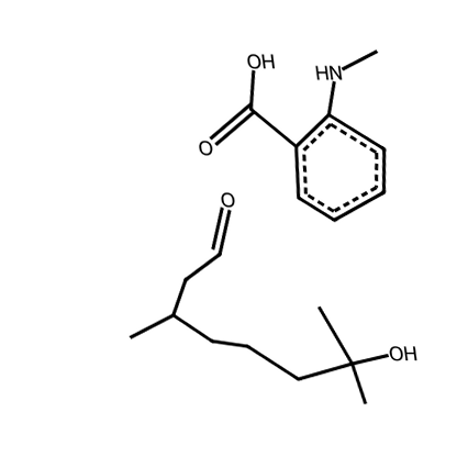 CC(CC=O)CCCC(C)(C)O.CNc1ccccc1C(=O)O